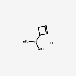 CCCCN(CCCC)C1[CH]C=C1.[LiH]